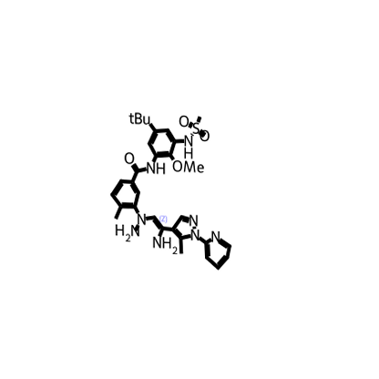 COc1c(NC(=O)c2ccc(C)c(N(N)/C=C(\N)c3cnn(-c4ccccn4)c3C)c2)cc(C(C)(C)C)cc1NS(C)(=O)=O